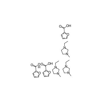 CCN1CCN(C)C1.CCN1CCN(C)C1.CCN1CCN(C)C1.O=C(O)c1ccco1.O=C(O)c1ccco1.O=C(O)c1ccco1